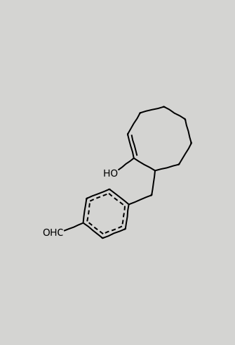 O=Cc1ccc(CC2CCCCC/C=C\2O)cc1